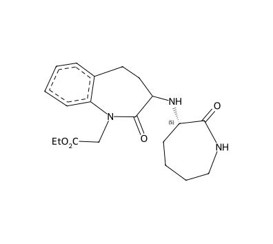 CCOC(=O)CN1C(=O)C(N[C@H]2CCCCNC2=O)CCc2ccccc21